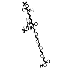 CC(C)(C)OC(=O)NCCCCC(NC(=O)OC(C)(C)C)C(=O)NCCOCCOCCOCCOCCC(=O)O